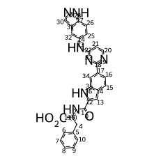 O=C(N[C@@H](Cc1ccccc1)C(=O)O)c1cc2ccc(-c3nccc(Nc4ccc5[nH]ncc5c4)n3)cc2[nH]1